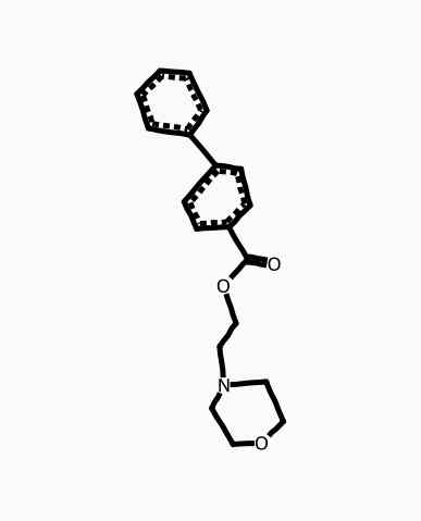 O=C(OCCN1CCOCC1)c1ccc(-c2ccccc2)cc1